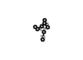 c1ccc2c(c1)ccc1c2sc2cccc(N(c3ccc(-c4nc5ccccc5s4)cc3)c3cccc4c3sc3ccc5ccccc5c34)c21